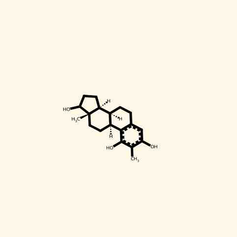 Cc1c(O)cc2c(c1O)[C@H]1CC[C@]3(C)C(O)CC[C@H]3[C@H]1CC2